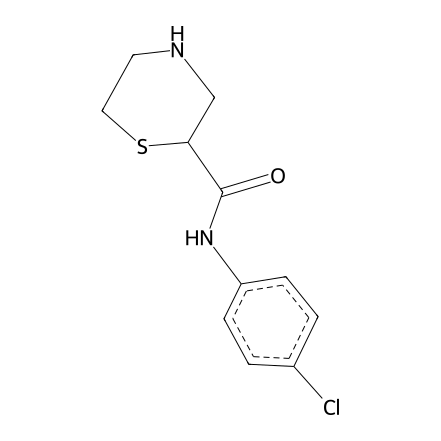 O=C(Nc1ccc(Cl)cc1)C1CNCCS1